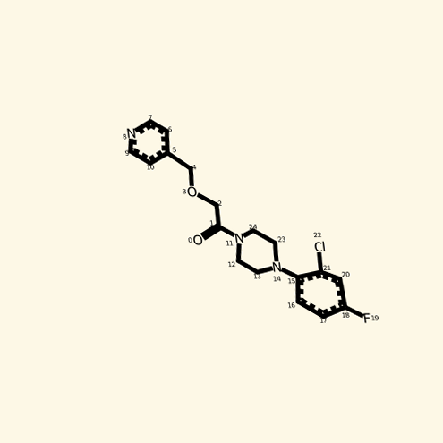 O=C(COCc1ccncc1)N1CCN(c2ccc(F)cc2Cl)CC1